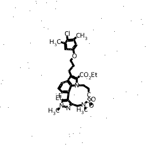 CCOC(=O)c1c(CCCOc2cc(C)c(Cl)c(C)c2)c2ccc(F)c3c2n1CCCS(=O)(=O)N(C)Cc1nn(C)c(CC)c1-3